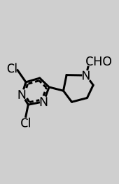 O=CN1CCCC(c2cc(Cl)nc(Cl)n2)C1